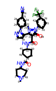 CN1CCC(NC(=O)[C@H]2CC[C@H](NC(=O)c3c(-c4ccnn4-c4ccc(C#N)cc4)n(C)n(-c4cccc(C(F)(F)F)c4)c3=O)CC2)CC1